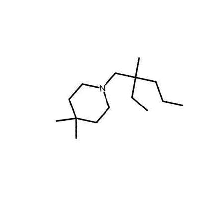 CCCC(C)(CC)CN1CCC(C)(C)CC1